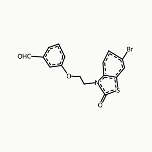 O=Cc1cccc(OCCn2c(=O)sc3cc(Br)ccc32)c1